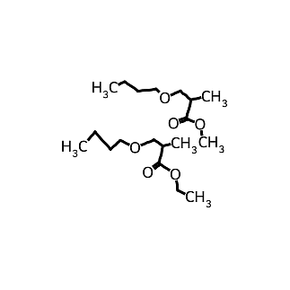 CCCCOCC(C)C(=O)OC.CCCCOCC(C)C(=O)OCC